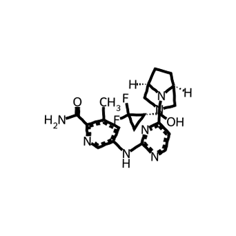 Cc1cc(Nc2nccc(N3C[C@H]4CC[C@@H](C3)N4C(O)[C@@H]3CC3(F)F)n2)cnc1C(N)=O